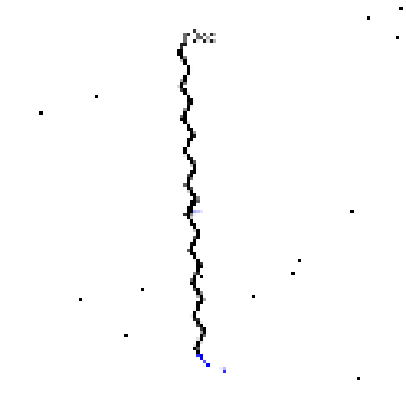 CCCCCCCCCCCCCCCCCCC/C=C/CCCCCCCCN